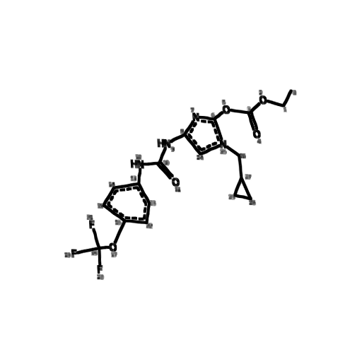 CCOC(=O)Oc1nc(NC(=O)Nc2ccc(OC(F)(F)F)cc2)cn1CC1CC1